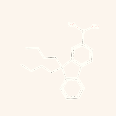 CCCCC1(CCCC)c2ccccc2-c2ccc(B(O)O)cc21